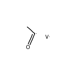 C[C]=O.[V]